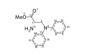 COC(=O)[C@@H](N)CN(c1ccccc1)c1ccccc1